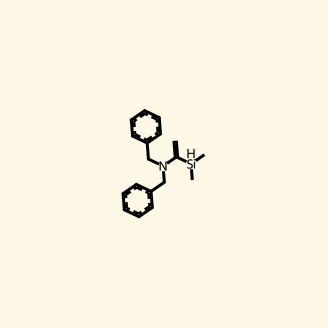 C=C(N(Cc1ccccc1)Cc1ccccc1)[SiH](C)C